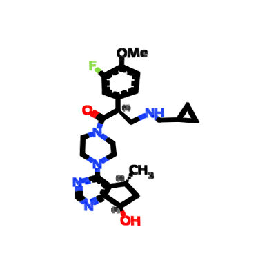 COc1ccc([C@@H](CNCC2CC2)C(=O)N2CCN(c3ncnc4c3[C@H](C)C[C@H]4O)CC2)cc1F